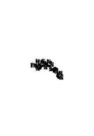 CCn1ncc(-c2nc3c(Sc4ccn(-c5ccncn5)c4)ncnc3n2C)c1C